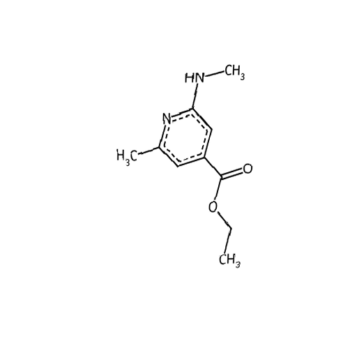 CCOC(=O)c1cc(C)nc(NC)c1